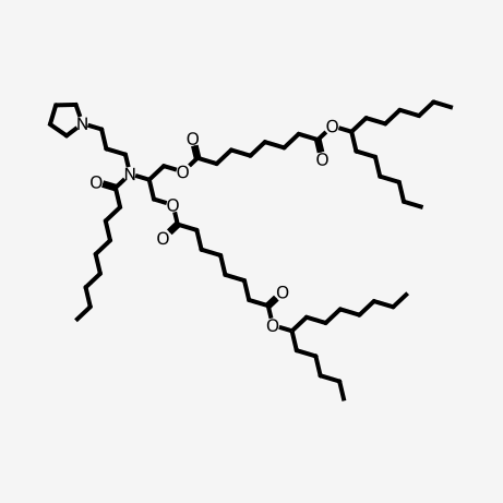 CCCCCCCCC(=O)N(CCCN1CCCC1)C(COC(=O)CCCCCCC(=O)OC(CCCCC)CCCCCCC)COC(=O)CCCCCCC(=O)OC(CCCCCC)CCCCCC